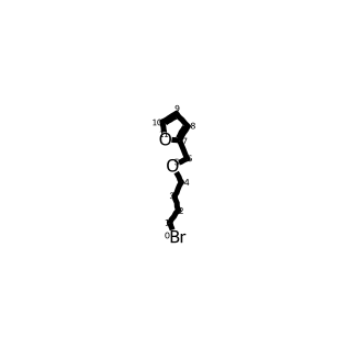 BrCCCCOCc1ccco1